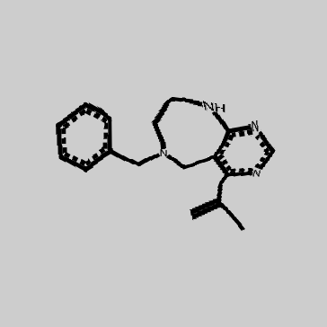 C=C(C)c1ncnc2c1CN(Cc1ccccc1)CCN2